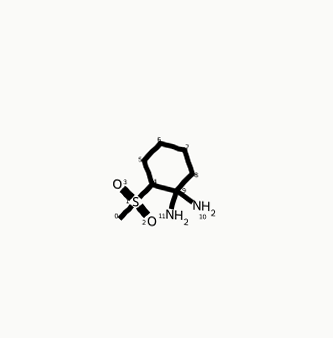 CS(=O)(=O)C1CCCCC1(N)N